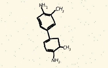 Cc1cc(C2=CC=C(N)C(C)C2)ccc1N